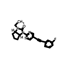 CCN1C(=O)N(c2ncc(C#Cc3cccc(F)c3)cn2)[C@@H]2CCC[C@@H]21